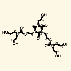 O=C(OCCn1c(=O)n(CCO)c(=O)n(CCOC(=O)N(CCO)CCO)c1=O)N(CCO)CCO